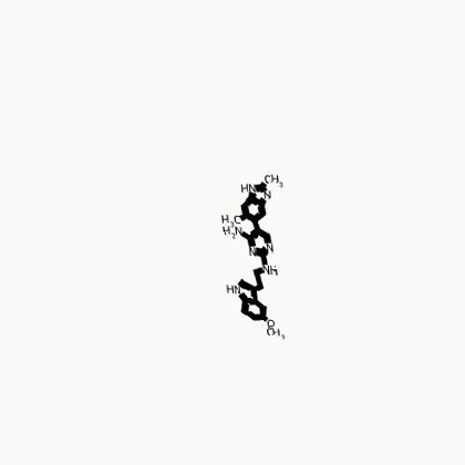 COc1ccc2[nH]cc(CCNc3ncc(-c4cc5nc(C)[nH]c5cc4C)c(N)n3)c2c1